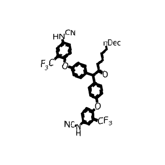 CCCCCCCCCCCCCCC(=O)C(c1ccc(Oc2ccc(NC#N)cc2C(F)(F)F)cc1)c1ccc(Oc2ccc(NC#N)cc2C(F)(F)F)cc1